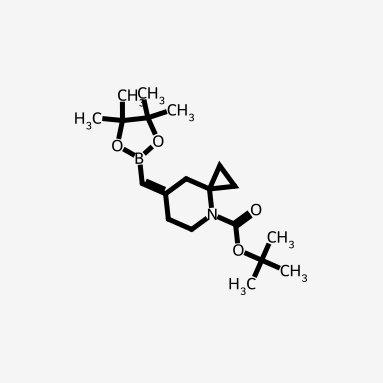 CC(C)(C)OC(=O)N1CC/C(=C/B2OC(C)(C)C(C)(C)O2)CC12CC2